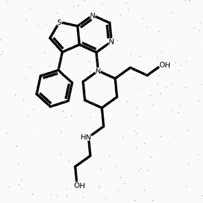 OCCNCC1CCN(c2ncnc3scc(-c4ccccc4)c23)C(CCO)C1